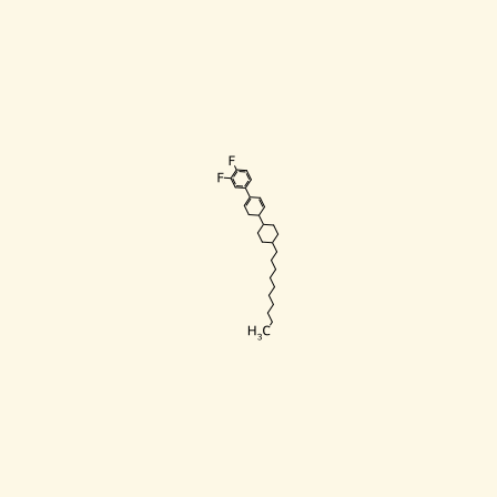 CCCCCCCCCCC1CCC(C2C=CC(c3ccc(F)c(F)c3)=CC2)CC1